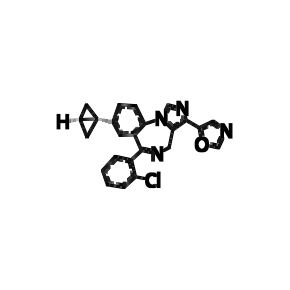 Clc1ccccc1C1=NCc2c(-c3cnco3)ncn2-c2ccc([C@]34C[C@H]3C4)cc21